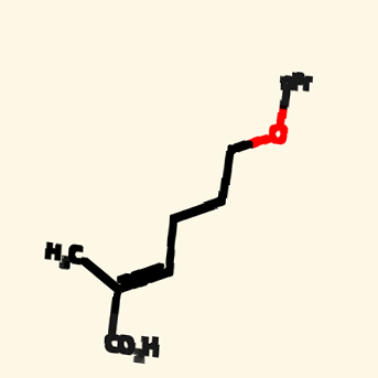 CCCOCCCC=C(C)C(=O)O